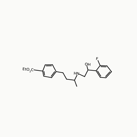 CCOC(=O)c1ccc(CCC(C)NCC(O)c2ccccc2F)cc1